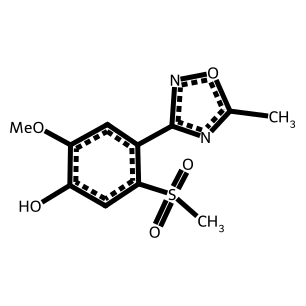 COc1cc(-c2noc(C)n2)c(S(C)(=O)=O)cc1O